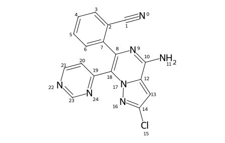 N#Cc1ccccc1-c1nc(N)c2cc(Cl)nn2c1-c1ccncn1